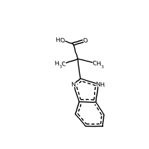 CC(C)(C(=O)O)c1nc2ccccc2[nH]1